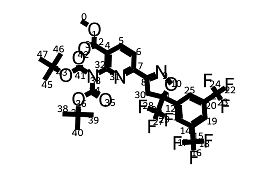 COC(=O)c1ccc(C2=NOC(c3cc(C(F)(F)F)cc(C(F)(F)F)c3)(C(F)(F)F)C2)nc1N(C(=O)OC(C)(C)C)C(=O)OC(C)(C)C